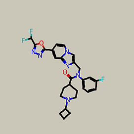 O=C(C1CCN(C2CCC2)CC1)N(Cc1cn2ccc(-c3nnc(C(F)F)o3)cc2n1)c1cccc(F)c1